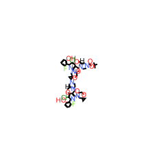 CC(C)(C)OC(=O)N1CCN2C(=O)c3c(N4CCOC5(CC5N5CCN6C(=O)c7c(N8CCOC9(CC9)C8)nc(-c8c(O)cccc8F)c(Cl)c7OC[C@H]6C5)C4)nc(-c4c(O)cccc4F)c(Cl)c3OC[C@H]2C1